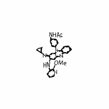 COc1ncccc1Nc1cc2nc3ccccc3n(-c3ccc(NC(C)=O)cc3)c-2c/c1=N\C1CC1